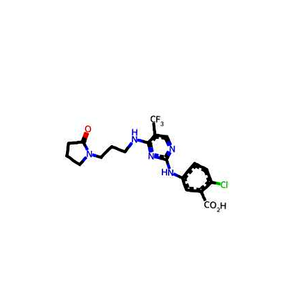 O=C(O)c1cc(Nc2ncc(C(F)(F)F)c(NCCCN3CCCC3=O)n2)ccc1Cl